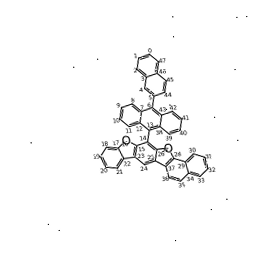 c1ccc2cc(-c3c4ccccc4c(-c4c5oc6ccccc6c5cc5c4oc4c6ccccc6ccc54)c4ccccc34)ccc2c1